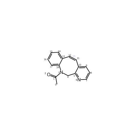 CC(=O)N1Cc2ncccc2/C=C\c2ccccc21